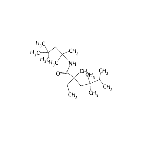 CCC(C)(CC(C)(C)C(C)C)C(=O)NC(C)(C)CC(C)(C)C